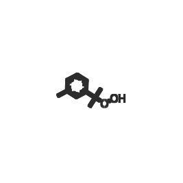 Cc1cccc(C(C)(C)OO)c1